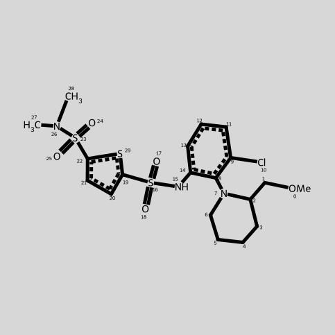 COCC1CCCCN1c1c(Cl)cccc1NS(=O)(=O)c1ccc(S(=O)(=O)N(C)C)s1